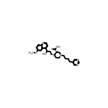 COc1ccc2nccc(C(O)CC[C@@H]3CCN(CCCCc4cncnc4)C[C@@H]3C(=O)O)c2c1